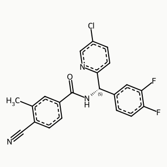 Cc1cc(C(=O)N[C@@H](c2ccc(F)c(F)c2)c2ccc(Cl)cn2)ccc1C#N